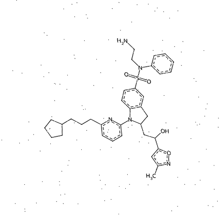 Cc1cc(C(O)CC2Cc3cc(S(=O)(=O)N(CCN)c4ccccc4)ccc3N2c2cccc(CCCC3CCCC3)n2)on1